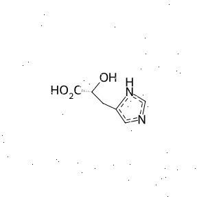 O=C(O)[C@H](O)Cc1cnc[nH]1